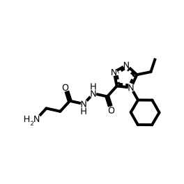 CCc1nnc(C(=O)NNC(=O)CCN)n1C1CCCCC1